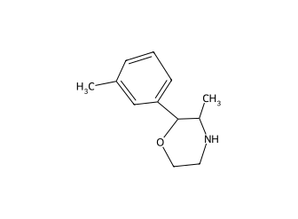 Cc1cccc(C2OCCNC2C)c1